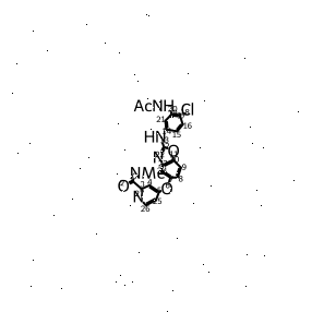 CNC(=O)c1cc(Oc2ccc3oc(Nc4ccc(Cl)c(NC(C)=O)c4)nc3c2)ccn1